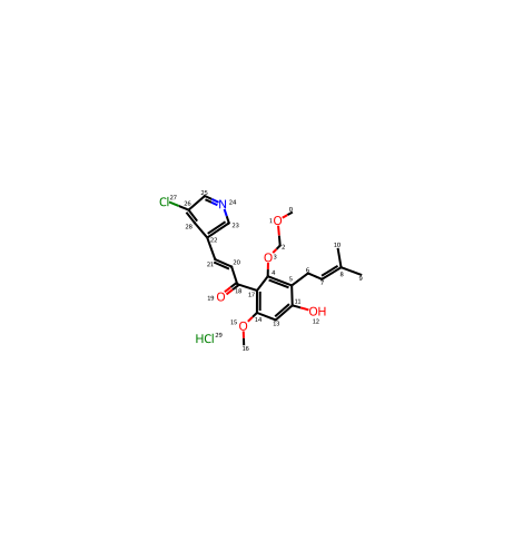 COCOc1c(CC=C(C)C)c(O)cc(OC)c1C(=O)C=Cc1cncc(Cl)c1.Cl